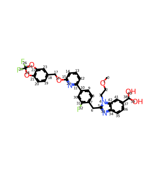 COCCn1c(Cc2ccc(-c3cccc(OCc4ccc5c(c4)OC(F)(F)O5)n3)cc2F)nc2ccc(C(O)O)cc21